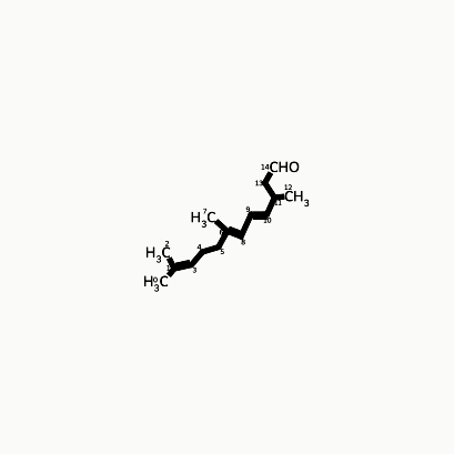 CC(C)=CCC/C(C)=C/C=C/C(C)CC=O